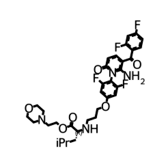 CC(C)C[C@@H](NCCCOc1cc(F)c(-n2c(N)c(C(=O)c3ccc(F)cc3F)ccc2=O)c(F)c1)C(=O)OCCN1CCOCC1